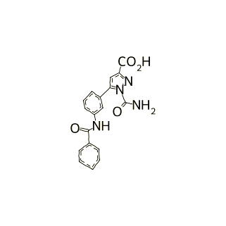 NC(=O)n1nc(C(=O)O)cc1-c1cccc(NC(=O)c2ccccc2)c1